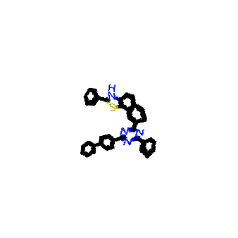 c1ccc(-c2ccc(-c3nc(-c4ccccc4)nc(-c4ccc5ccc6c(c5c4)SC(c4ccccc4)N6)n3)cc2)cc1